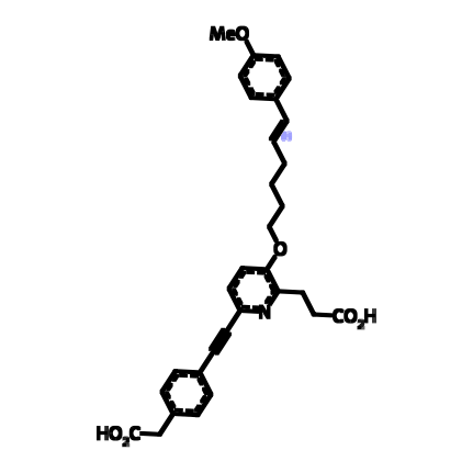 COc1ccc(/C=C/CCCCOc2ccc(C#Cc3ccc(CC(=O)O)cc3)nc2CCC(=O)O)cc1